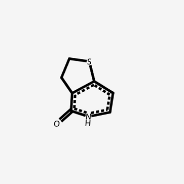 O=c1[nH]ccc2c1CCS2